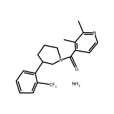 Cc1nccc(C(=O)N2CCCC(c3ccccc3C(F)(F)F)C2)c1C.N